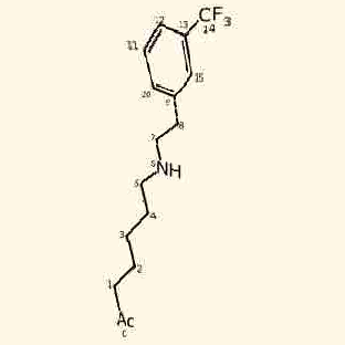 CC(=O)CCCCCNCCc1cccc(C(F)(F)F)c1